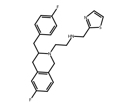 Fc1ccc(CC2Cc3cc(F)ccc3CN2CCNCc2nccs2)cc1